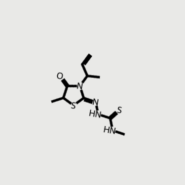 C=CC(C)N1C(=O)C(C)SC1=NNC(=S)NC